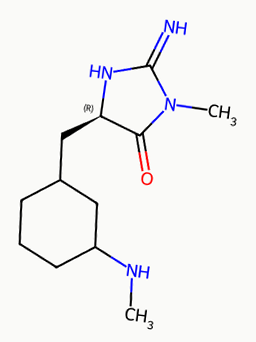 CNC1CCCC(C[C@H]2NC(=N)N(C)C2=O)C1